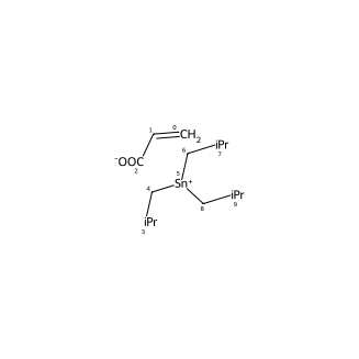 C=CC(=O)[O-].CC(C)[CH2][Sn+]([CH2]C(C)C)[CH2]C(C)C